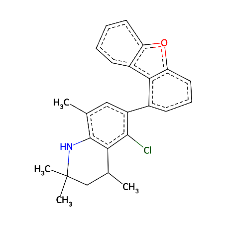 Cc1cc(-c2cccc3oc4ccccc4c23)c(Cl)c2c1NC(C)(C)CC2C